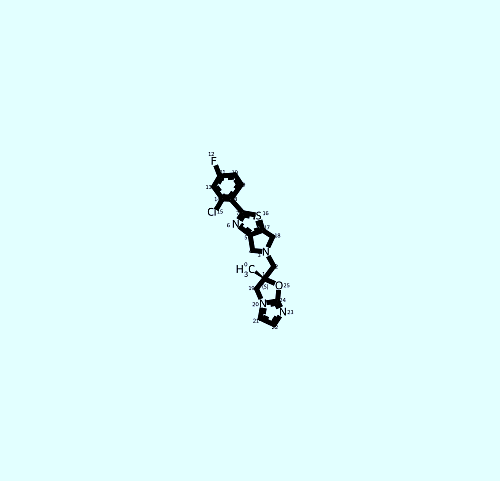 C[C@]1(CN2Cc3nc(-c4ccc(F)cc4Cl)sc3C2)Cn2ccnc2O1